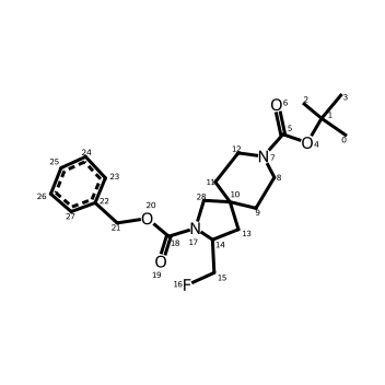 CC(C)(C)OC(=O)N1CCC2(CC1)CC(CF)N(C(=O)OCc1ccccc1)C2